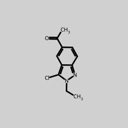 CCn1nc2ccc(C(C)=O)cc2c1Cl